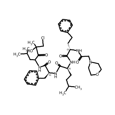 CC(C)CC[C@H](NC(=O)[C@H](CCc1ccccc1)NC(=O)CN1CCOCC1)C(=O)N[C@@H](Cc1ccccc1)C(=O)NC(CC(C)C)C(=O)C(C)(O)CCl